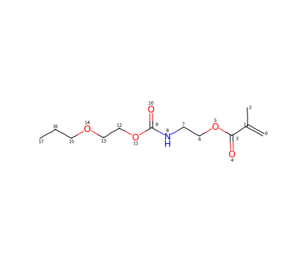 C=C(C)C(=O)OCCNC(=O)OCCOCCC